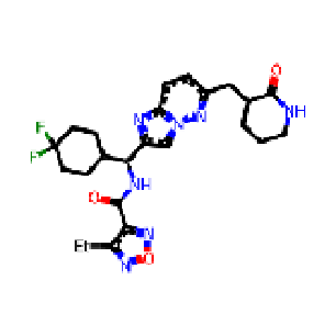 CCc1nonc1C(=O)N[C@H](c1cn2nc(CC3CCCNC3=O)ccc2n1)C1CCC(F)(F)CC1